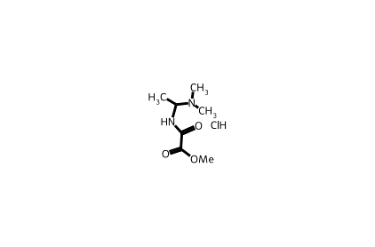 COC(=O)C(=O)NC(C)N(C)C.Cl